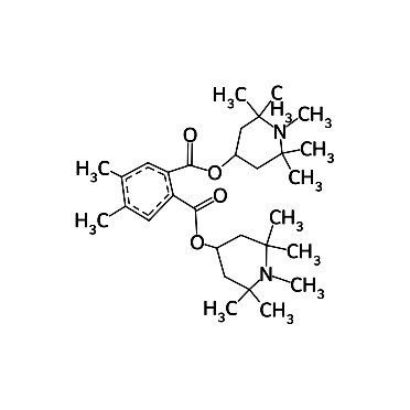 Cc1cc(C(=O)OC2CC(C)(C)N(C)C(C)(C)C2)c(C(=O)OC2CC(C)(C)N(C)C(C)(C)C2)cc1C